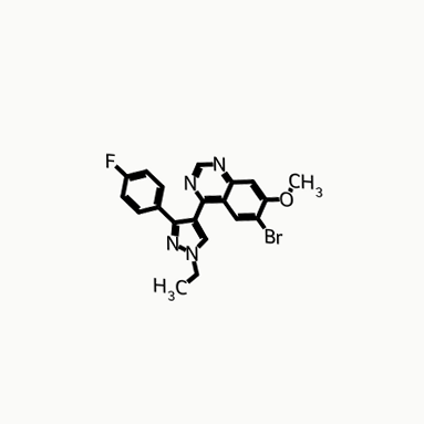 CCn1cc(-c2ncnc3cc(OC)c(Br)cc23)c(-c2ccc(F)cc2)n1